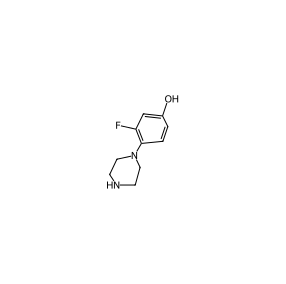 Oc1ccc(N2CCNCC2)c(F)c1